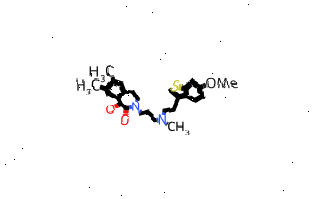 COc1ccc2c(CCN(C)CCCN3CCc4cc(C)c(C)cc4C(=O)C3=O)csc2c1